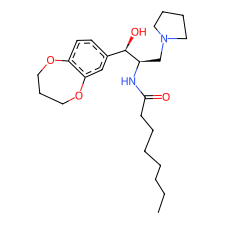 CCCCCCCC(=O)N[C@H](CN1CCCC1)[C@H](O)c1ccc2c(c1)OCCCO2